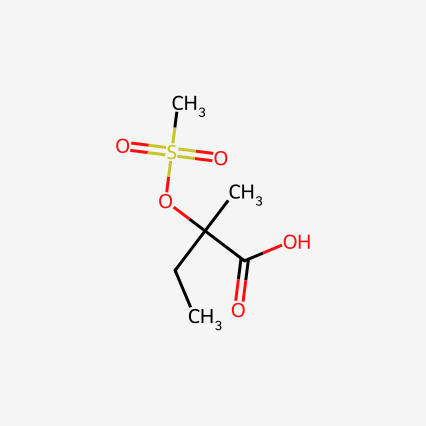 CCC(C)(OS(C)(=O)=O)C(=O)O